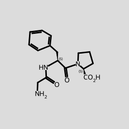 NCC(=O)N[C@@H](Cc1ccccc1)C(=O)N1CCC[C@H]1C(=O)O